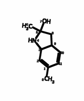 CC1=CC2NC(C)(O)CC2C=C1